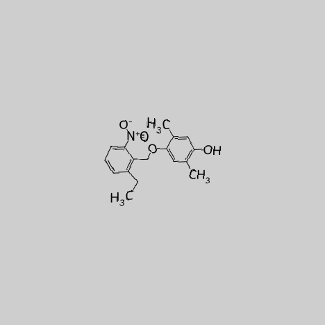 CCc1cccc([N+](=O)[O-])c1COc1cc(C)c(O)cc1C